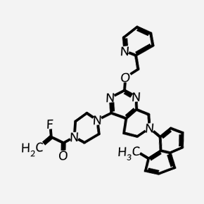 C=C(F)C(=O)N1CCN(c2nc(OCc3ccccn3)nc3c2CCN(c2cccc4cccc(C)c24)C3)CC1